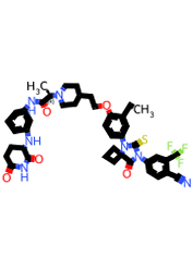 CCc1cc(N2C(=S)N(c3ccc(C#N)c(C(F)(F)F)c3)C(=O)C23CCC3)ccc1OCCC1CCN([C@H](C)C(=O)Nc2cccc(NC3CCC(=O)NC3=O)c2)CC1